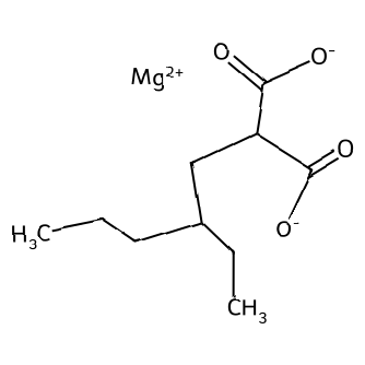 CCCC(CC)CC(C(=O)[O-])C(=O)[O-].[Mg+2]